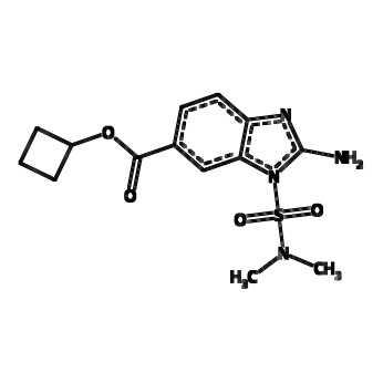 CN(C)S(=O)(=O)n1c(N)nc2ccc(C(=O)OC3CCC3)cc21